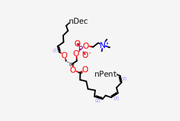 CCCCC/C=C\C/C=C\C/C=C\CCCCC(=O)O[C@H](CO/C=C\CCCCCCCCCCCCCC)COP(=O)([O-])OCC[N+](C)(C)C